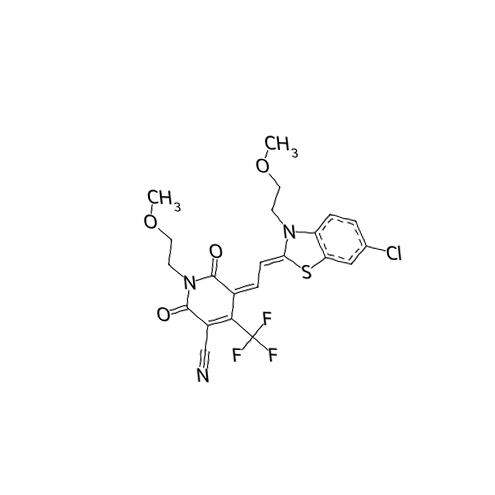 COCCN1C(=O)C(C#N)=C(C(F)(F)F)/C(=C/C=C2\Sc3cc(Cl)ccc3N2CCOC)C1=O